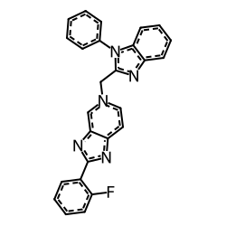 Fc1ccccc1-c1nc2ccn(Cc3nc4ccccc4n3-c3ccccc3)cc-2n1